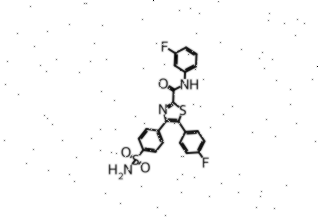 NS(=O)(=O)c1ccc(-c2nc(C(=O)Nc3cccc(F)c3)sc2-c2ccc(F)cc2)cc1